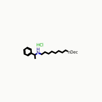 CCCCCCCCCCCCCCCCCCNC(C)c1ccccc1.Cl